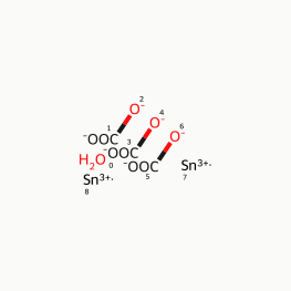 O.O=C([O-])[O-].O=C([O-])[O-].O=C([O-])[O-].[Sn+3].[Sn+3]